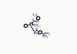 Cc1c(C(=O)Nc2cccc(C(F)(F)F)c2)cc(-c2ccccc2)n1CCCN(C)C(=O)c1ccc(N(C)C)cc1